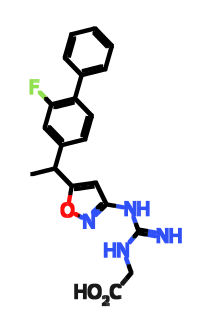 CC(c1ccc(-c2ccccc2)c(F)c1)c1cc(NC(=N)NCC(=O)O)no1